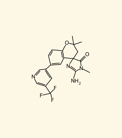 CN1C(=O)C2(CC(C)(C)Oc3ccc(-c4cncc(C(F)(F)F)c4)cc32)N=C1N